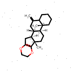 C=C1C[C@@H]2[C@H](CC[C@@]3(C)[C@H]2CC24OCCOC23OCCO4)[C@@]2(C)CCCCC12